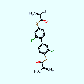 C=C(C)C(=O)Sc1ccc(-c2ccc(SC(=O)C(=C)C)c(F)c2)c(F)c1